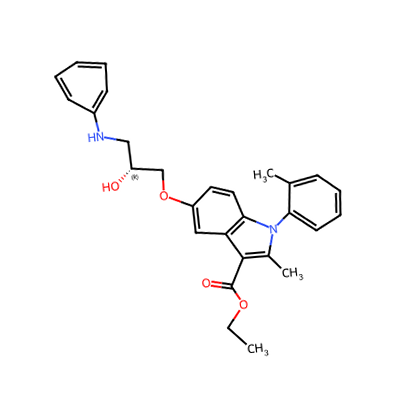 CCOC(=O)c1c(C)n(-c2ccccc2C)c2ccc(OC[C@H](O)CNc3ccccc3)cc12